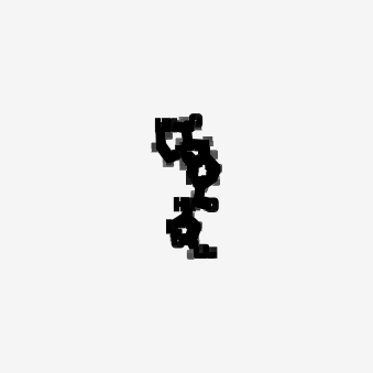 CC(C)(C)c1cc(NC(=O)c2ccc3cc4n(c3n2)CCCNC4=O)no1